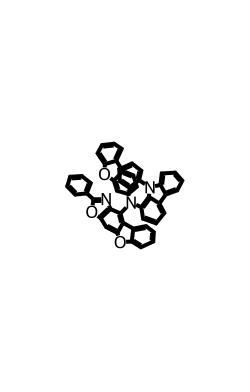 c1ccc(-c2nc3c(N(c4ccc5c(c4)oc4ccccc45)c4cccc5c6ccccc6n(-c6ccccc6)c45)c4c(cc3o2)oc2ccccc24)cc1